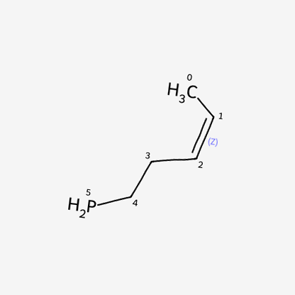 C/C=C\CCP